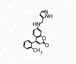 Cc1ccccc1-c1cc(=O)oc2cc(NCc3ccn[nH]3)ccc12